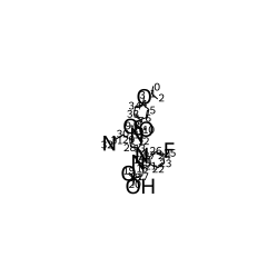 CC(C)Oc1ccc(S(=O)(=O)N2C[C@H](n3nc(CC(=O)O)c4ccc(F)cc43)C[C@H]2CC#N)cc1